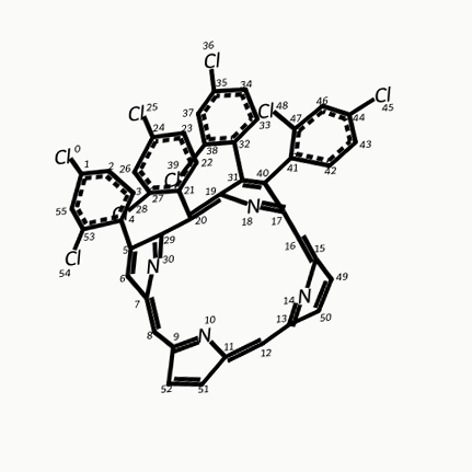 Clc1ccc(C2=CC3=CC4=NC(=CC5=NC(=CC6=NC(=C(c7ccc(Cl)cc7Cl)C2=N3)C(c2ccc(Cl)cc2Cl)=C6c2ccc(Cl)cc2Cl)C=C5)C=C4)c(Cl)c1